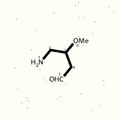 COC(CN)CC=O